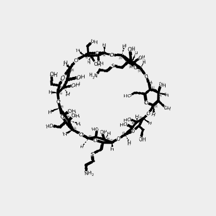 NCCSCC1O[C@@H]2O[C@@H]3C(CO)O[C@@H](O[C@@H]4C(CO)O[C@@H](O[C@@H]5C(CSCCN)O[C@@H](O[C@@H]6C(CO)O[C@H](O[C@@H]7C(CO)O[C@H](O[C@@H]8C(CO)O[C@H](O[C@H]1[C@H](O)C2O)C(O)[C@H]8O)C(O)[C@H]7O)C(O)[C@H]6O)C(O)[C@H]5O)C(O)[C@H]4O)C(O)[C@H]3O